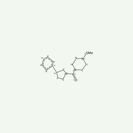 CSN1CCN(C(=O)N2CCC(c3ccccc3)C2)CC1